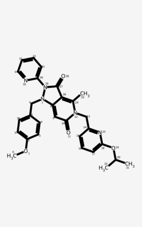 COc1ccc(Cn2c3cc(=O)n(Cc4cccc(OC(C)C)n4)c(C)c3c(=O)n2-c2ccccn2)cc1